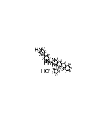 Cl.O=c1c(Cc2ccccc2)cc2cnc(Nc3ccc(N4CCNCC4)cn3)nc2n1C1CCCC1